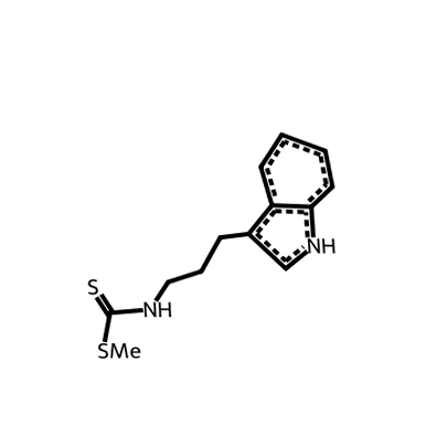 C[SH2]C(=S)NCCCc1c[nH]c2ccccc12